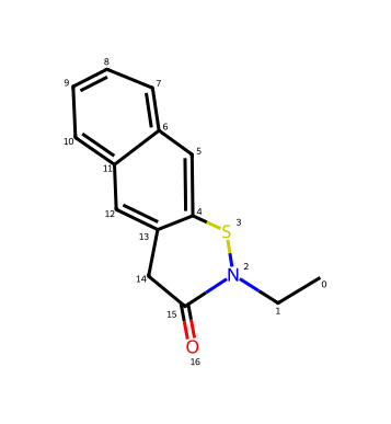 CCN1Sc2cc3ccccc3cc2CC1=O